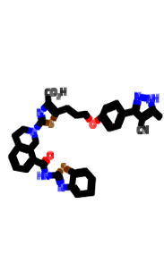 Cc1[nH]nc(-c2ccc(OCCCc3sc(N4CCc5cccc(C(=O)Nc6nc7ccccc7s6)c5C4)nc3C(=O)O)cc2)c1C#N